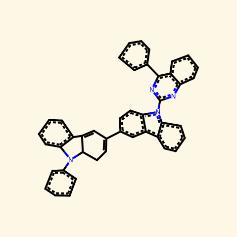 C1=C(c2ccc3c(c2)c2ccccc2n3-c2nc(-c3ccccc3)c3ccccc3n2)C=C2c3ccccc3N(c3ccccc3)C2C1